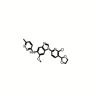 COc1cc2c(cc1Nc1ccc(C)nn1)ncn2-c1ccc(C2OCCO2)c(Cl)n1